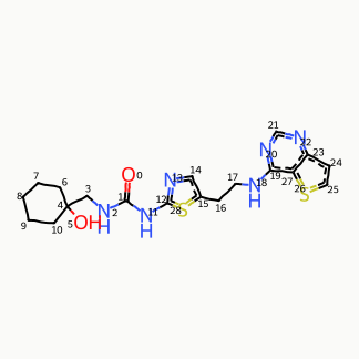 O=C(NCC1(O)CCCCC1)Nc1ncc(CCNc2ncnc3ccsc23)s1